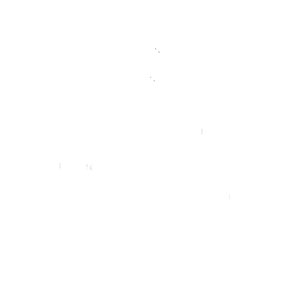 CN1CCC(c2ccc(F)c(F)c2)c2cc(F)c(-c3cccnn3)cc2C1